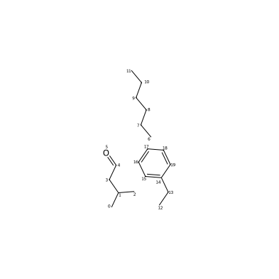 CC(C)CC=O.CCCCCC.CCc1ccccc1